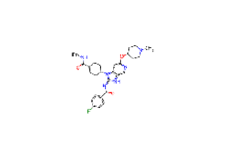 CC(C)NC(=O)C1CCC(n2/c(=N/C(=O)c3ccc(F)cc3)[nH]c3cnc(OC4CCN(C)CC4)cc32)CC1